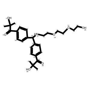 CC(C)(O)C(=O)c1ccc(C(NCCOCCOCCO)c2ccc(C(=O)C(C)(C)O)cc2)cc1